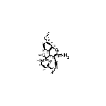 COC1=NC(OC)(C2C(C#N)=C(N)Oc3cc(OC)ccc32)NC=C1